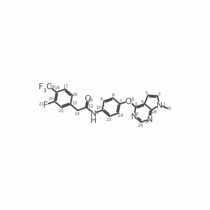 Cn1ccc2c(Oc3ccc(NC(=O)Cc4ccc(C(F)(F)F)c(F)c4)cc3)ncnc21